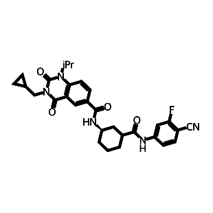 CC(C)n1c(=O)n(CC2CC2)c(=O)c2cc(C(=O)N[C@@H]3CCCC(C(=O)Nc4ccc(C#N)c(F)c4)C3)ccc21